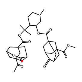 COC(=O)C12CC3CC(C(=O)OC4CC(C)CCC4C(C)(C)OC(=O)C45CC6CC(C(C)=O)(CC(C4)C(=O)O6)C5)(CC(C1)C3=O)C2